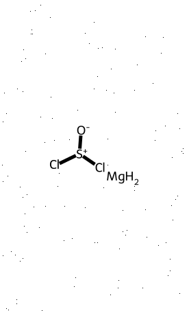 [MgH2].[O-][S+](Cl)Cl